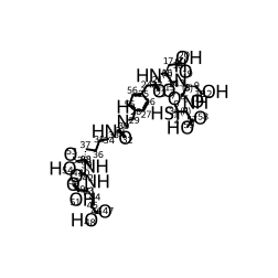 CC(C)(S)[C@H](NC(=O)[C@H](CC(=O)O)NC(=O)[C@H](CC(=O)O)NC(=O)Cc1ccc(CNC(=O)NCCCC[C@H](NC(=O)N[C@@H](CCC(=O)O)C(=O)O)C(=O)O)cc1)C(=O)O